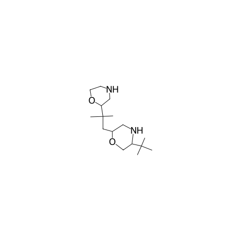 CC(C)(C)C1COC(CC(C)(C)C2CNCCO2)CN1